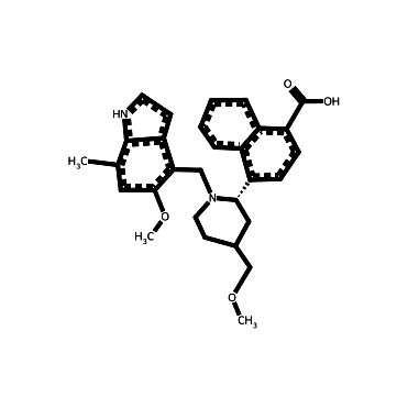 COCC1CCN(Cc2c(OC)cc(C)c3[nH]ccc23)[C@H](c2ccc(C(=O)O)c3ccccc23)C1